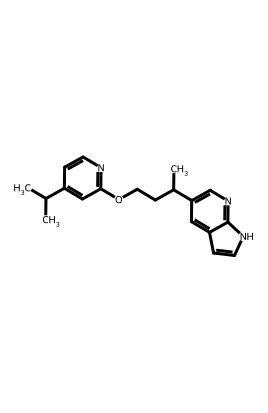 CC(C)c1ccnc(OCCC(C)c2cnc3[nH]ccc3c2)c1